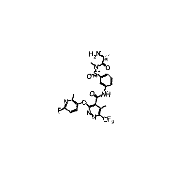 Cc1nc(F)ccc1Oc1nnc(C(F)(F)F)c(C)c1C(=O)Nc1cccc([S@@+]([O-])N(C)C(=O)[C@@H](C)N)c1